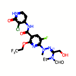 CCN(C=O)/C(CO)=N\N(C)c1nc(OCC(F)(F)F)c(C(=O)Nc2cc[nH]c(=O)c2Cl)cc1F